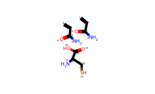 C=CC(N)=O.C=CC(N)=O.NC(CS)C(=O)O